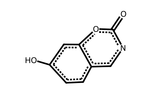 O=c1ncc2ccc(O)cc2o1